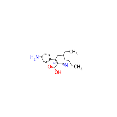 CCCCC(CC)C/C(=C(\C#N)C(=O)O)c1ccc(N)cc1